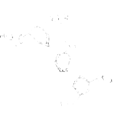 Nc1cc(-c2cc(C(=O)O)cc(C(=O)O)c2)ccc1-c1cc(C(=O)O)cc(C(=O)O)c1